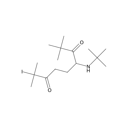 CC(C)(C)NC(CCC(=O)C(C)(C)I)C(=O)C(C)(C)C